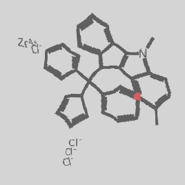 Cc1ccc2c(c1)c1c(n2C)-c2ccccc2C1C(c1ccccc1)(c1ccccc1)C1C=CC=C1.[Cl-].[Cl-].[Cl-].[Cl-].[Zr+4]